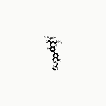 CCCN(CCC)C(=O)C1=Cc2c(F)cc(-c3ccc4c(=O)n(Cc5nccs5)ncc4c3)cc2N=C(N)C1